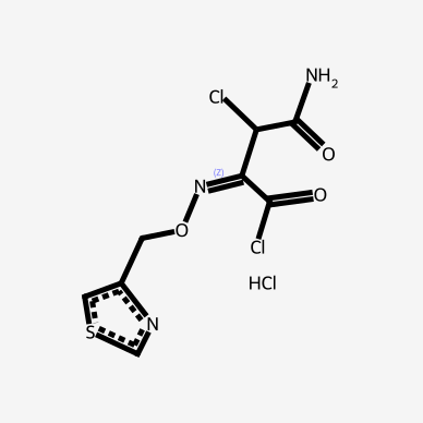 Cl.NC(=O)C(Cl)/C(=N/OCc1cscn1)C(=O)Cl